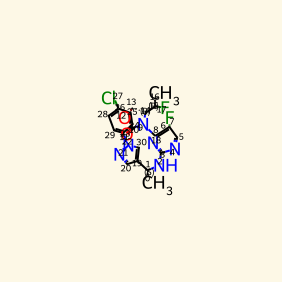 C[C@H](Nc1ncc(F)c(N2C(=O)OC[C@@H]2[C@@H](C)F)n1)c1cnn(-c2ccc(Cl)cc2)c1